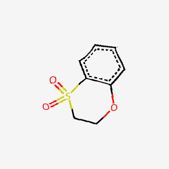 O=S1(=O)CCOc2c[c]ccc21